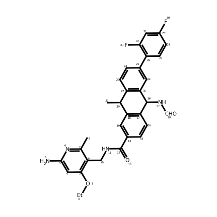 CCOc1cc(N)nc(C)c1CNC(=O)c1ccc2c(c1)C(C)c1ccc(-c3ccc(F)cc3F)cc1C2NC=O